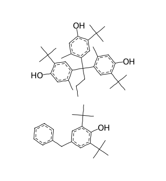 CC(C)(C)c1cc(Cc2ccccc2)cc(C(C)(C)C)c1O.CCCC(c1cc(C(C)(C)C)c(O)cc1C)(c1cc(C(C)(C)C)c(O)cc1C)c1cc(C(C)(C)C)c(O)cc1C